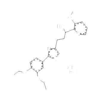 CCOc1ccc(-c2nc(CCC(O)c3ncccc3OC)cs2)cc1OCC.Cl.Cl